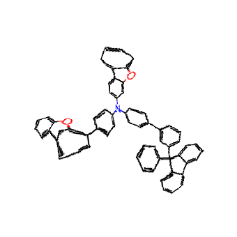 c1ccc(C2(c3cccc(-c4ccc(N(c5ccc(-c6cccc7c6oc6ccccc67)cc5)c5ccc6c(c5)oc5ccccc56)cc4)c3)c3ccccc3-c3ccccc32)cc1